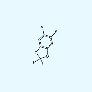 Fc1cc2c(cc1Br)OC(F)(F)O2